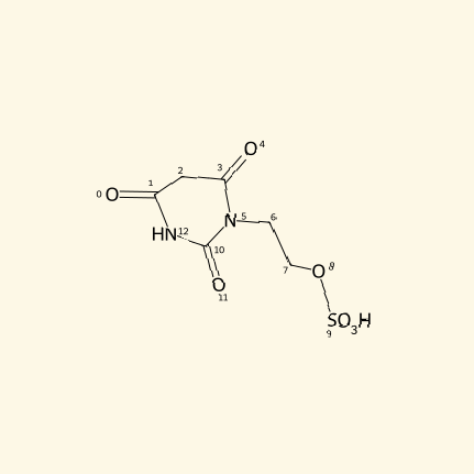 O=C1CC(=O)N(CCOS(=O)(=O)O)C(=O)N1